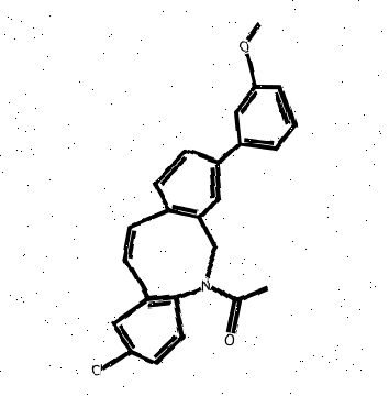 COc1cccc(-c2ccc3c(c2)CN(C(C)=O)c2ccc(Cl)cc2/C=C\3)c1